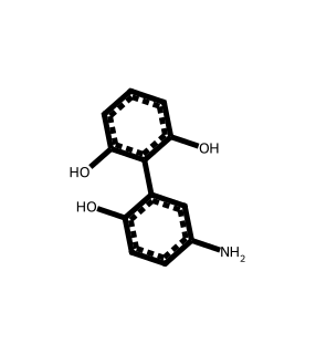 Nc1ccc(O)c(-c2c(O)cccc2O)c1